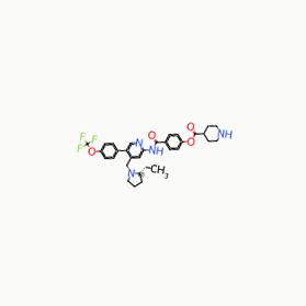 CC[C@@H]1CCCN1Cc1cc(NC(=O)c2ccc(OC(=O)C3CCNCC3)cc2)ncc1-c1ccc(OC(F)(F)F)cc1